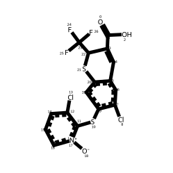 O=C(O)C1=Cc2cc(Cl)c(Sc3c(Cl)ccc[n+]3[O-])cc2SC1C(F)(F)F